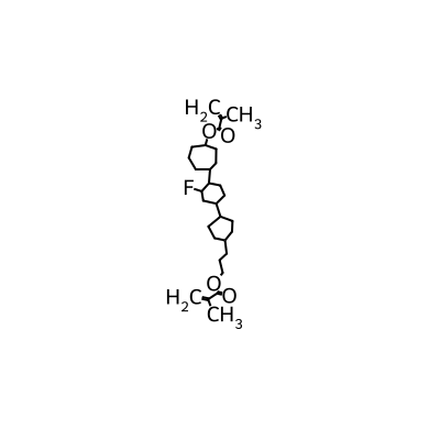 C=C(C)C(=O)OCCCC1CCC(C2CCC(C3CCCC(OC(=O)C(=C)C)CC3)C(F)C2)CC1